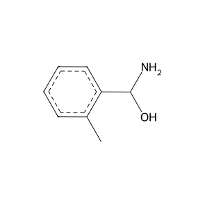 Cc1ccccc1C(N)O